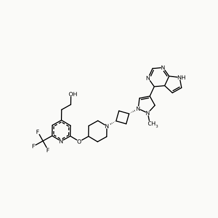 CN1CC(C2N=CN=C3NC=CC32)=CN1[C@H]1C[C@@H](N2CCC(Oc3cc(CCO)cc(C(F)(F)F)n3)CC2)C1